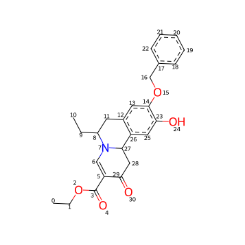 CCOC(=O)C1=CN2C(CC)Cc3cc(OCc4ccccc4)c(O)cc3C2CC1=O